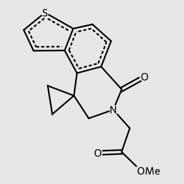 COC(=O)CN1CC2(CC2)c2c(ccc3sccc23)C1=O